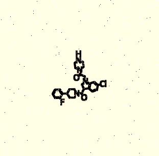 O=C(CN1CC(C(=O)N2CCC(c3ccccc3F)CC2)c2ccc(Cl)cc21)N1CCNCC1